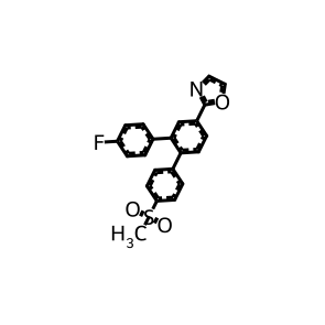 CS(=O)(=O)c1ccc(-c2ccc(-c3ncco3)cc2-c2ccc(F)cc2)cc1